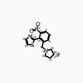 O=[N+]([O-])c1cccc(CN2CC[C@@H](F)C2)c1-c1nccs1